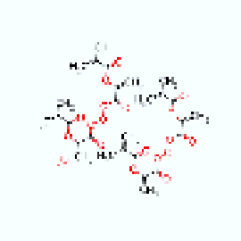 C=C(C)C(=O)OC(=C)C(=O)OOOC(=O)C(=C)OC(=O)C(=C)C.C=C(C)C(=O)OC(=C)C(=O)OOOC(=O)C(=C)OC(=O)C(=C)C.O